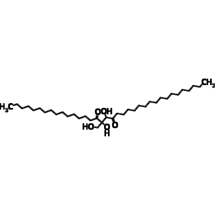 CCCCCCCCCCCCCCCCCC(=O)C(O)C(O)(CO)C(=O)CCCCCCCCCCCCCCC